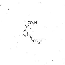 O=C(O)C=Nc1cccc(N=CC(=O)O)c1